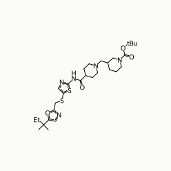 CCC(C)(C)c1cnc(CSc2cnc(NC(=O)C3CCN(CC4CCCN(C(=O)OC(C)(C)C)C4)CC3)s2)o1